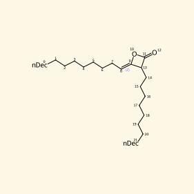 CCCCCCCCCCCCCCCCC/C=C1\OC(=O)C1CCCCCCCCCCCCCCCCC